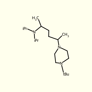 CC(CCC(C)N(C(C)C)C(C)C)N1CCN(C(C)(C)C)CC1